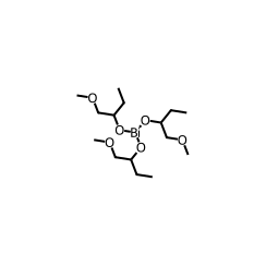 CCC(COC)[O][Bi]([O]C(CC)COC)[O]C(CC)COC